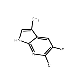 Cc1c[nH]c2nc(Cl)c(F)cc12